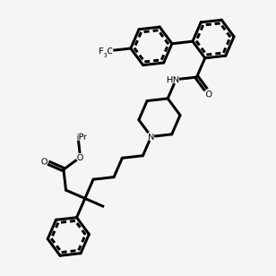 CC(C)OC(=O)CC(C)(CCCCN1CCC(NC(=O)c2ccccc2-c2ccc(C(F)(F)F)cc2)CC1)c1ccccc1